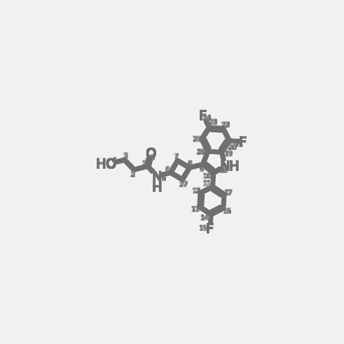 O=C(CCO)NC1CC(c2c(-c3ccc(F)cc3)[nH]c3c(F)cc(F)cc23)C1